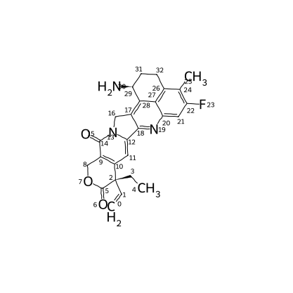 C=C[C@]1(CC)C(=O)OCc2c1cc1n(c2=O)Cc2c-1nc1cc(F)c(C)c3c1c2[C@@H](N)CC3